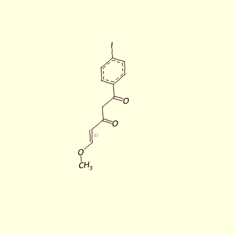 CO/C=C/C(=O)CC(=O)c1ccc(I)cc1